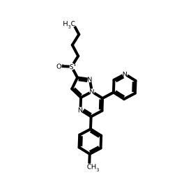 CCCC[S+]([O-])c1cc2nc(-c3ccc(C)cc3)cc(-c3cccnc3)n2n1